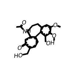 COc1cc2c(c(CO)c1OC)-c1ccc(CO)c(=O)cc1[C@@H](NC(C)=O)CC2